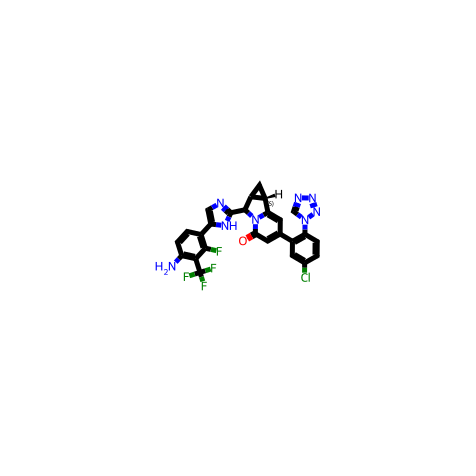 Nc1ccc(-c2cnc(C3C4C[C@@H]4c4cc(-c5cc(Cl)ccc5-n5cnnn5)cc(=O)n43)[nH]2)c(F)c1C(F)(F)F